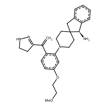 C=C(C1=NNCC1)c1ccc(OCCOC)cc1N1CCC2(CC1)Cc1ccccc1[C@H]2N